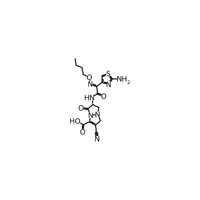 CCCCON=C(C(=O)N[C@H]1CN2CC(C#N)=C(C(=O)O)N2C1=O)c1csc(N)n1